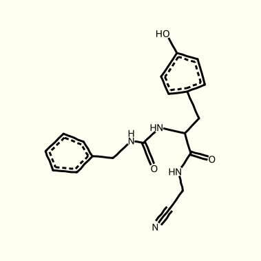 N#CCNC(=O)C(Cc1ccc(O)cc1)NC(=O)NCc1ccccc1